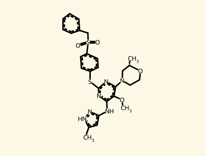 COc1c(Nc2cc(C)[nH]n2)nc(Sc2ccc(S(=O)(=O)Cc3ccccc3)cc2)nc1N1CCO[C@H](C)C1